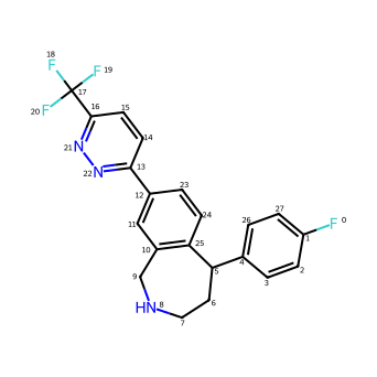 Fc1ccc(C2CCNCc3cc(-c4ccc(C(F)(F)F)nn4)ccc32)cc1